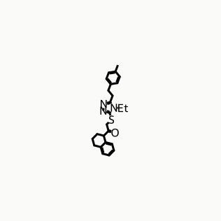 CCn1c(CCc2ccc(C)cc2)nnc1SCC(=O)C1CCCc2ccccc21